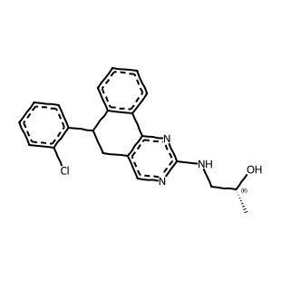 C[C@@H](O)CNc1ncc2c(n1)-c1ccccc1C(c1ccccc1Cl)C2